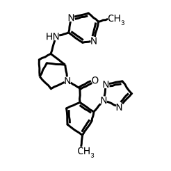 Cc1ccc(C(=O)N2CC3CC(Nc4cnc(C)cn4)C2C3)c(-n2nccn2)c1